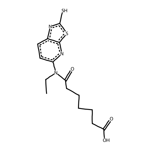 CCN(C(=O)CCCCCC(=O)O)c1ccc2nc(S)sc2n1